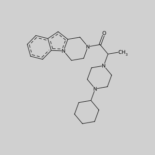 CC(C(=O)N1CCn2c(cc3ccccc32)C1)N1CCN(C2CCCCC2)CC1